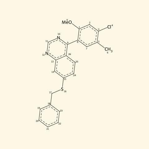 COc1cc(Cl)c(C)cc1-c1ncnc2cc(SCc3ccccc3)ccc12